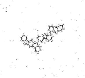 c1ccc2c(c1)oc1cc3c4ccccc4n(-c4ccc5sc6c(-c7cccc8c7oc7ccccc78)cccc6c5c4)c3cc12